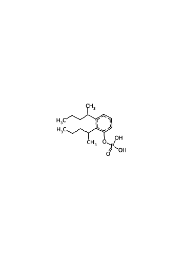 CCCC(C)c1cccc(OP(=O)(O)O)c1C(C)CCC